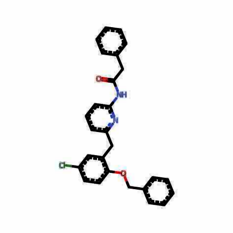 O=C(Cc1ccccc1)Nc1cccc(Cc2cc(Cl)ccc2OCc2ccccc2)n1